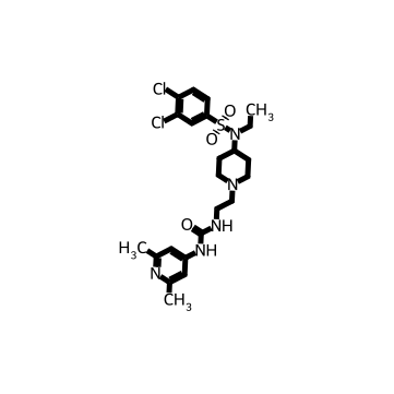 CCN(C1CCN(CCNC(=O)Nc2cc(C)nc(C)c2)CC1)S(=O)(=O)c1ccc(Cl)c(Cl)c1